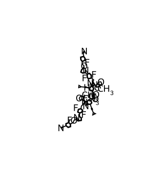 CC1(C)COCC1n1c(Cc2cc(F)c(-c3cccc(OCc4ccc(C#N)cc4F)n3)cc2F)nc2c(C#CC3CC3)cc(C(=O)OC(=O)c3cc(C#CC4CC4)c4nc(Cc5cc(F)c(-c6cccc(OCc7ccc(C#N)cc7F)n6)cc5F)n(C5COCC5(C)C)c4c3)cc21